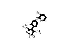 Cc1cc(Oc2ncccc2Br)ccc1-c1c(C)n[nH]c(=O)c1C